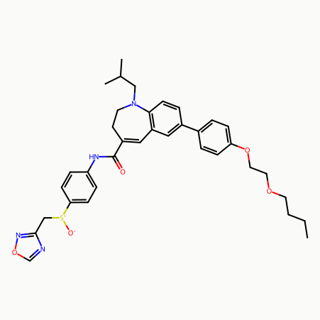 CCCCOCCOc1ccc(-c2ccc3c(c2)C=C(C(=O)Nc2ccc([S+]([O-])Cc4ncon4)cc2)CCN3CC(C)C)cc1